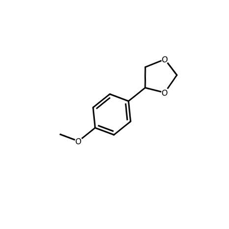 COc1ccc(C2COCO2)cc1